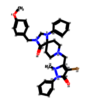 COc1ccc(CN2CN(c3ccccc3)C3(CCN(Cc4c(Br)c(=O)n(-c5ccccc5)n4C)CC3)C2=O)cc1